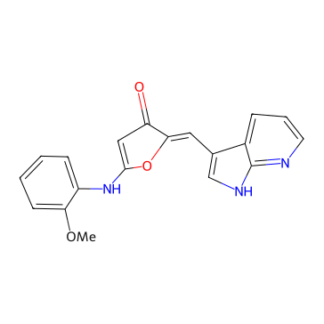 COc1ccccc1NC1=CC(=O)C(=Cc2c[nH]c3ncccc23)O1